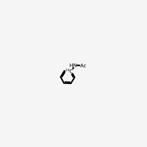 CC(=O)N[14c]1ccccc1